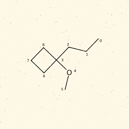 CCCC1(OC)CCC1